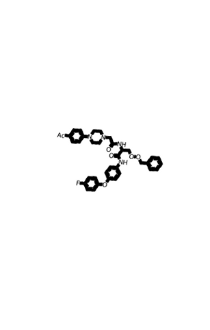 CC(=O)c1ccc(N2CCN(CC(=O)NC(COOCc3ccccc3)C(=O)Nc3ccc(Oc4ccc(F)cc4)cc3)CC2)cc1